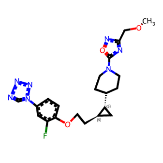 COCc1noc(N2CCC([C@@H]3C[C@H]3CCOc3ccc(-n4cnnn4)cc3F)CC2)n1